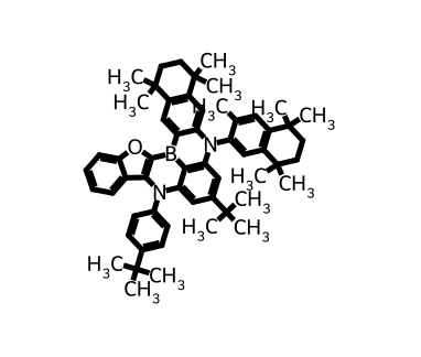 Cc1cc2c(cc1N1c3cc4c(cc3B3c5oc6ccccc6c5N(c5ccc(C(C)(C)C)cc5)c5cc(C(C)(C)C)cc1c53)C(C)(C)CCC4(C)C)C(C)(C)CCC2(C)C